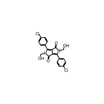 O=C1C2=C(c3ccc(Cl)cc3)N(CO)C(=O)C2=C(c2ccc(Cl)cc2)N1CO